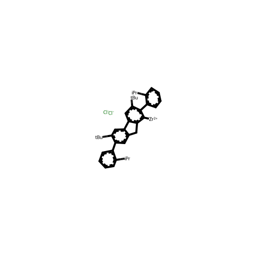 CC(C)c1ccccc1-c1cc2c(cc1C(C)(C)C)-c1cc(C(C)(C)C)c(-c3ccccc3C(C)C)[c]([Zr+2])c1C2.[Cl-].[Cl-]